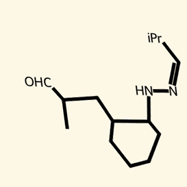 CC(C)/C=N\NC1CCCCC1CC(C)C=O